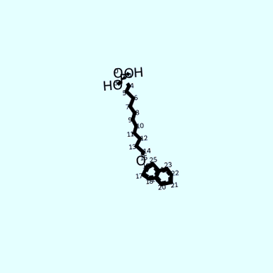 O=P(O)(O)CCCCCCCCCCCOc1ccc2ccccc2c1